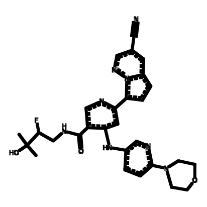 CC(C)(O)C(F)CNC(=O)c1cnc(-c2ccc3cc(C#N)cnn23)cc1Nc1ccc(N2CCOCC2)nc1